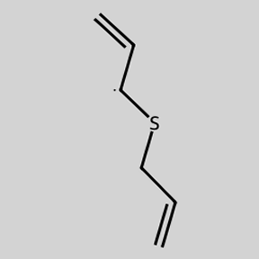 C=C[CH]SCC=C